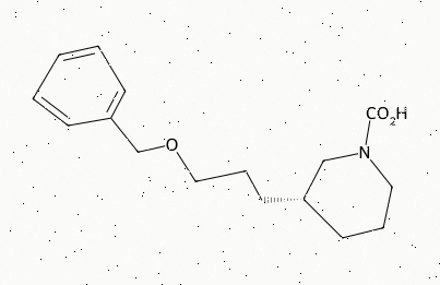 O=C(O)N1CCC[C@H](CCCOCc2ccccc2)C1